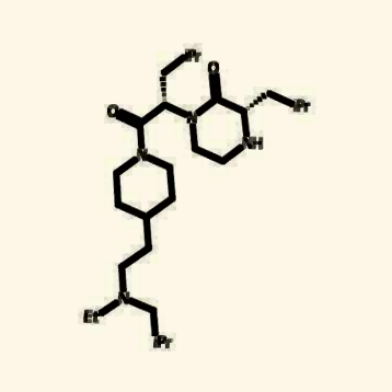 CCN(CCC1CCN(C(=O)[C@H](CC(C)C)N2CCN[C@@H](CC(C)C)C2=O)CC1)CC(C)C